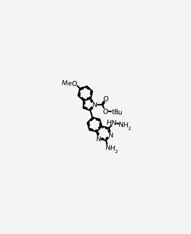 COc1ccc2c(c1)cc(-c1ccc3nc(N)nc(NN)c3c1)n2C(=O)OC(C)(C)C